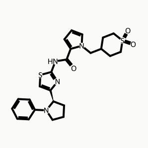 O=C(Nc1nc([C@H]2CCCN2c2ccccc2)cs1)c1cccn1CC1CCS(=O)(=O)CC1